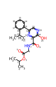 CC(C)OC(=O)CNC(=O)c1nc(-c2ccccc2C(C)C)cnc1O